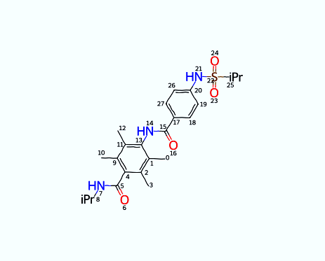 Cc1c(C)c(C(=O)NC(C)C)c(C)c(C)c1NC(=O)c1ccc(NS(=O)(=O)C(C)C)cc1